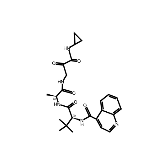 C[C@H](NC(=O)[C@@H](NC(=O)c1ccnc2ccccc12)C(C)(C)C)C(=O)NCC(=O)C(=O)NC1CC1